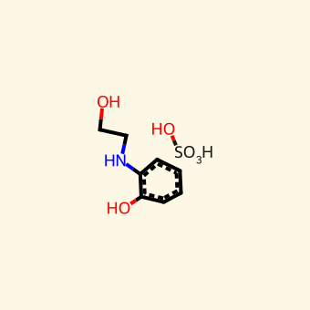 O=S(=O)(O)O.OCCNc1ccccc1O